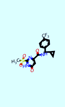 CS(=O)(=O)c1nc(C(=O)N[C@@H](c2ccc(C(F)(F)F)cc2)C2CC2)cc(=O)[nH]1